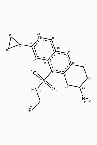 CC(C)CNS(=O)(=O)c1c2c(cc3cnc(C4CC4)cc13)CCC(N)C2